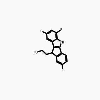 OCCC1c2cc(F)ccc2-c2[nH]c3c(F)cc(F)cc3c21